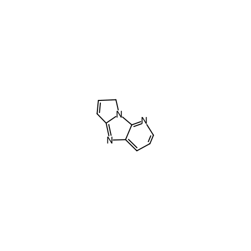 C1=Cc2nc3cccnc3n2C1